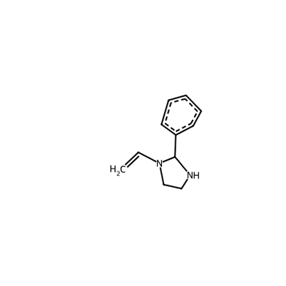 C=CN1CCNC1c1ccccc1